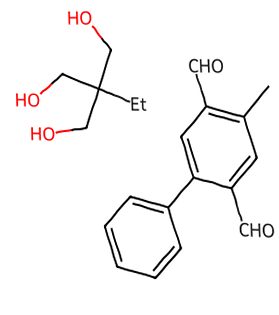 CCC(CO)(CO)CO.Cc1cc(C=O)c(-c2ccccc2)cc1C=O